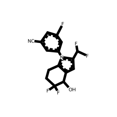 N#Cc1cc(F)cc(-n2c(C(F)F)cc3c2CCC(F)(F)C3O)c1